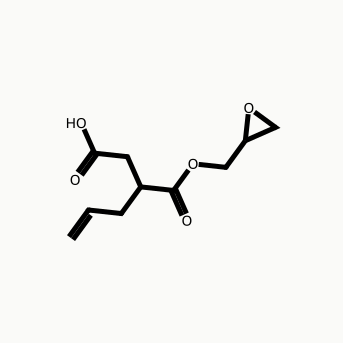 C=CCC(CC(=O)O)C(=O)OCC1CO1